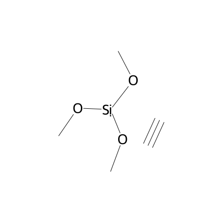 C#C.CO[Si](OC)OC